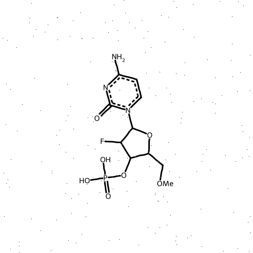 COCC1OC(n2ccc(N)nc2=O)C(F)C1OP(=O)(O)O